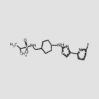 CC(C)S(=O)(=O)NCC1CCC(Nc2nc(-c3cccc(F)n3)cs2)CC1